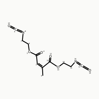 C/C(=C/C(=O)OCCN=C=O)C(=O)OCCN=C=O